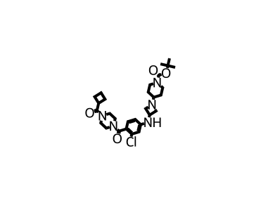 CC(C)(C)OC(=O)N1CCC(N2CC(Nc3ccc(C(=O)N4CCN(C(=O)C5CCC5)CC4)c(Cl)c3)C2)CC1